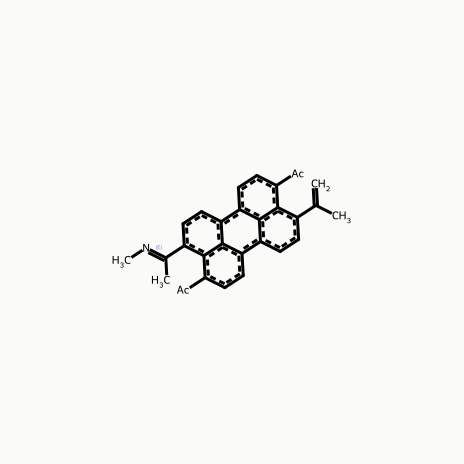 C=C(C)c1ccc2c3ccc(C(C)=O)c4c(/C(C)=N/C)ccc(c5ccc(C(C)=O)c1c25)c43